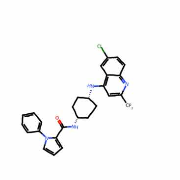 O=C(N[C@H]1CC[C@@H](Nc2cc(C(F)(F)F)nc3ccc(Cl)cc23)CC1)c1cccn1-c1ccccc1